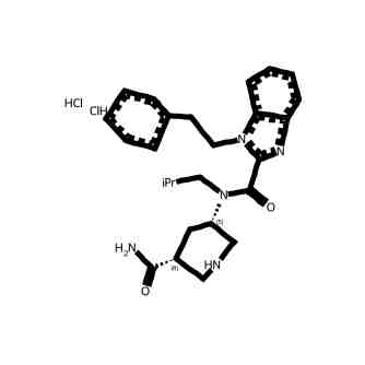 CC(C)CN(C(=O)c1nc2ccccc2n1CCc1ccccc1)[C@@H]1CNC[C@H](C(N)=O)C1.Cl.Cl